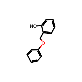 N#Cc1ccccc1COc1[c]cccc1